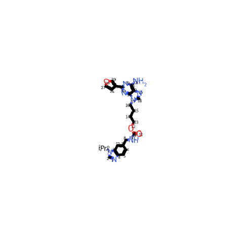 CC(C)n1cnc2ccc(CNC(=O)OCCCCn3cnc4c(N)nc(-c5ccoc5)nc43)cc21